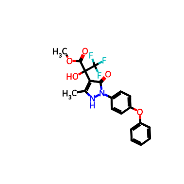 COC(=O)C(O)(c1c(C)[nH]n(-c2ccc(Oc3ccccc3)cc2)c1=O)C(F)(F)F